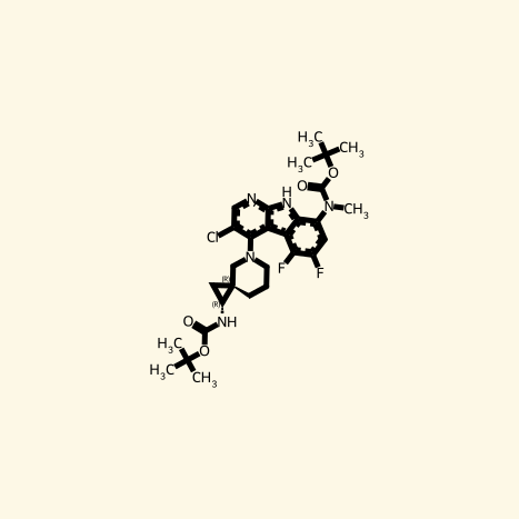 CN(C(=O)OC(C)(C)C)c1cc(F)c(F)c2c1[nH]c1ncc(Cl)c(N3CCC[C@@]4(C[C@H]4NC(=O)OC(C)(C)C)C3)c12